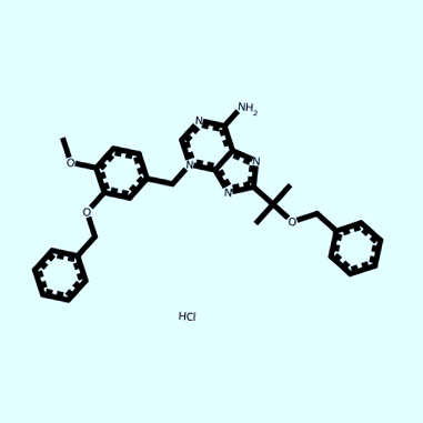 COc1ccc(Cn2cnc(N)c3nc(C(C)(C)OCc4ccccc4)nc2-3)cc1OCc1ccccc1.Cl